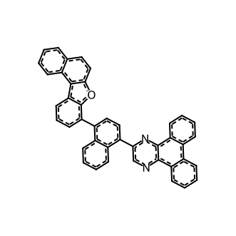 c1ccc2c(c1)ccc1oc3c(-c4ccc(-c5cnc6c7ccccc7c7ccccc7c6n5)c5ccccc45)cccc3c12